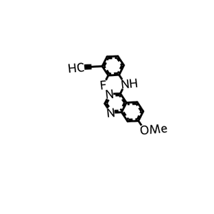 C#Cc1cccc(Nc2ncnc3cc(OC)ccc23)c1F